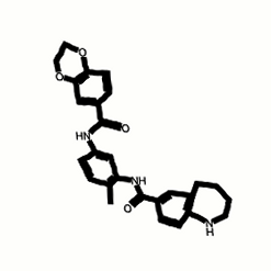 Cc1ccc(NC(=O)c2ccc3c(c2)OCCO3)cc1NC(=O)c1ccc2c(c1)CCCCN2